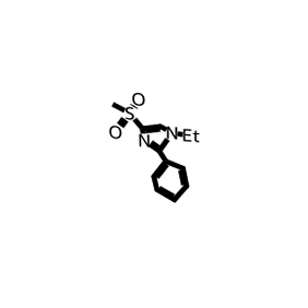 CCn1cc(S(C)(=O)=O)nc1-c1ccccc1